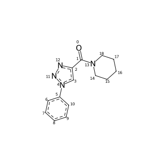 O=C(c1cn(-c2ccccc2)nn1)N1CCCCC1